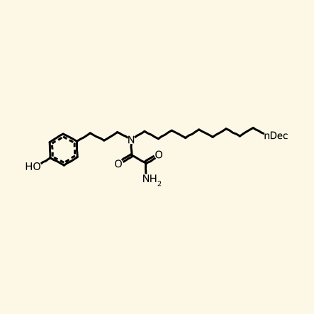 CCCCCCCCCCCCCCCCCCCN(CCCc1ccc(O)cc1)C(=O)C(N)=O